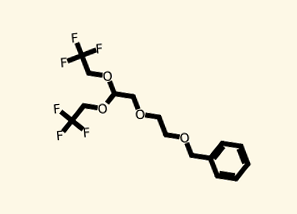 FC(F)(F)COC(COCCOCc1ccccc1)OCC(F)(F)F